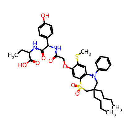 CCCCC1(CCCC)CN(c2ccccc2)c2cc(SC)c(OCC(=O)N[C@@H](C(=O)NC(CC)C(=O)O)c3ccc(O)cc3)cc2S(=O)(=O)C1